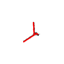 CCCCCCCCCCCCCCCCCCCCCOC[C@H](COP(=O)([O-])OCC[N+](C)(C)C)OCCCCCCCCCCCCCCCCCCCCC